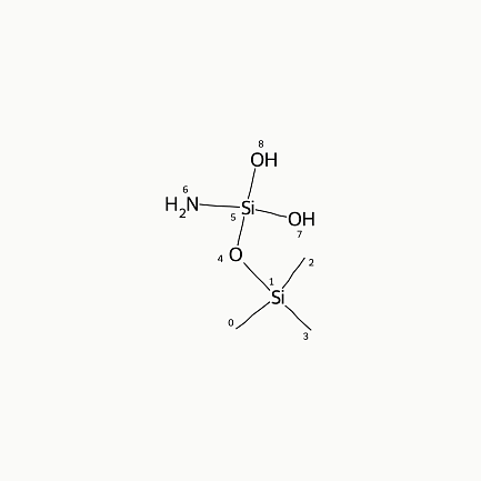 C[Si](C)(C)O[Si](N)(O)O